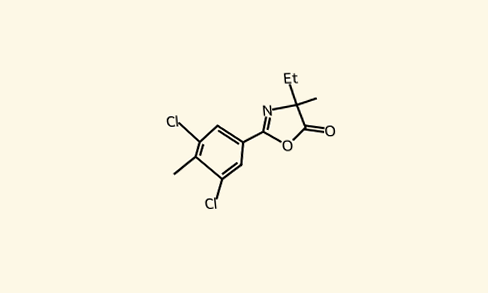 CCC1(C)N=C(c2cc(Cl)c(C)c(Cl)c2)OC1=O